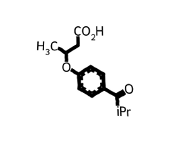 CC(CC(=O)O)Oc1ccc(C(=O)C(C)C)cc1